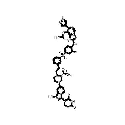 CC(C)Oc1c(-c2cn[nH]c2)ncn2nc(Nc3ccc(S(=O)(=O)c4cccc(CCN5CCN(c6ccc7c(N8CCC(=O)NC8=O)nn(C)c7c6)C[C@H]5C(C)C)c4)cc3F)nc12